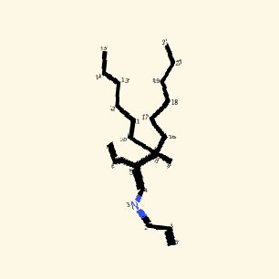 C=C/C=N\C=C(/C=C)C(C)(CCCCCC)CCCCCC